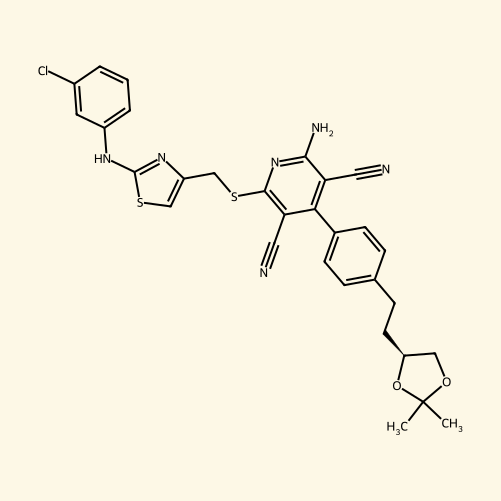 CC1(C)OC[C@H](CCc2ccc(-c3c(C#N)c(N)nc(SCc4csc(Nc5cccc(Cl)c5)n4)c3C#N)cc2)O1